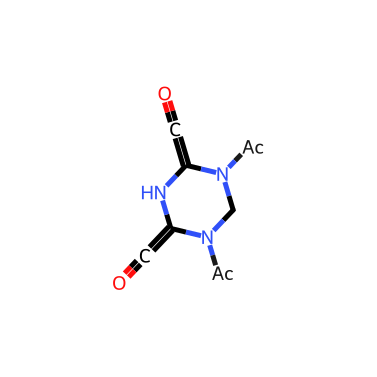 CC(=O)N1CN(C(C)=O)C(=C=O)NC1=C=O